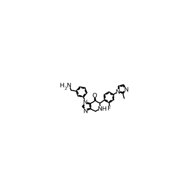 Cc1nccn1-c1ccc(C2NCc3ncn(-c4cccc(CN)c4)c3C2=O)c(F)c1